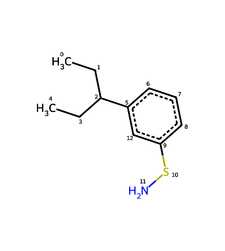 CCC(CC)c1cccc(SN)c1